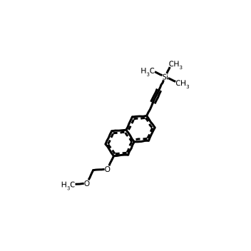 COCOc1ccc2cc(C#C[Si](C)(C)C)ccc2c1